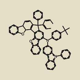 C/C=C\C(=C/C)C1(c2ccccc2)C2=C(c3c1cc(N(c1ccc(C(C)(C)C)cc1)c1ccc4c5ccccc5n(-c5ccccc5)c4c1)c1c3oc3ccccc31)C1Oc3ccccc3C1C=C2